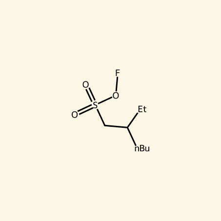 CCCCC(CC)CS(=O)(=O)OF